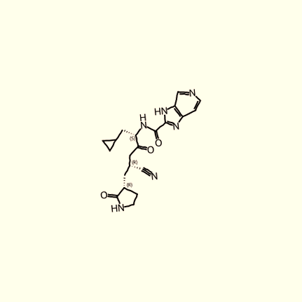 N#C[C@@H](CC(=O)[C@H](CC1CC1)NC(=O)c1nc2ccncc2[nH]1)C[C@@H]1CCNC1=O